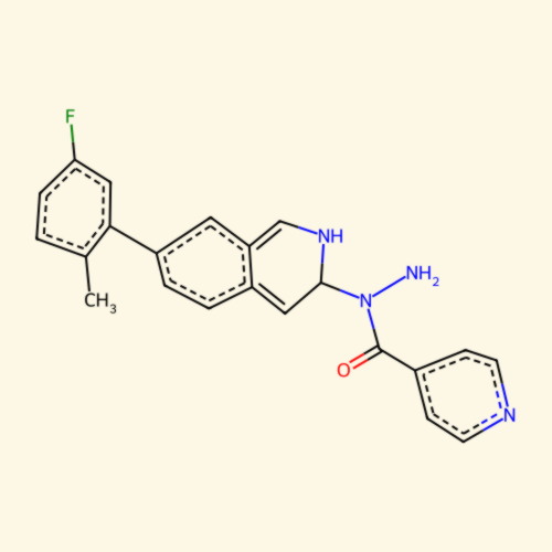 Cc1ccc(F)cc1-c1ccc2c(c1)=CNC(N(N)C(=O)c1ccncc1)C=2